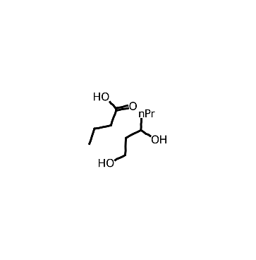 CCCC(=O)O.CCCC(O)CCO